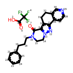 O=C(O)C(F)(F)F.O=C1c2c3c(nn2CCN1CCCc1ccccc1)-c1ccncc1CC3